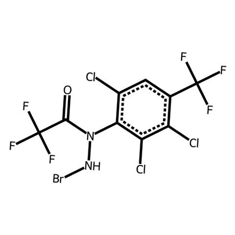 O=C(N(NBr)c1c(Cl)cc(C(F)(F)F)c(Cl)c1Cl)C(F)(F)F